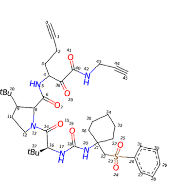 C#CCCC(NC(=O)C1C(C(C)(C)C)CCN1C(=O)[C@@H](NC(=O)NC1(CS(=O)(=O)c2ccccc2)CCCCC1)C(C)(C)C)C(=O)C(=O)NCC#C